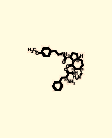 COc1ccc(CCNC(=O)[C@@H]2CC[C@@H]3CC[C@H](CN)[C@H](NC(=O)[C@H](N)Cc4ccccc4)C(=O)N32)cc1